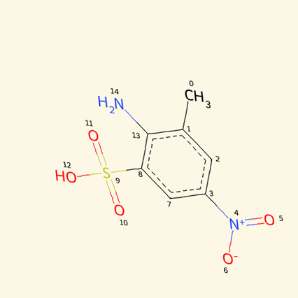 Cc1cc([N+](=O)[O-])cc(S(=O)(=O)O)c1N